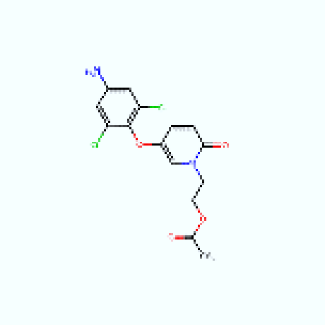 CC(=O)OCCn1cc(Oc2c(Cl)cc(N)cc2Cl)ccc1=O